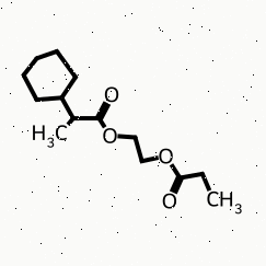 CCC(=O)OCCOC(=O)C(C)C1CCCCC1